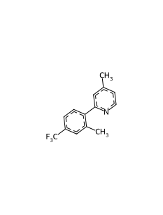 Cc1ccnc(-c2ccc(C(F)(F)F)cc2C)c1